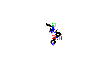 C=C/C=C/C(Cl)=N\C(=C/C)N[C@@H](C)c1cccc(NC(=O)C2CCN(C)CC2)c1